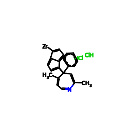 CC1=CC(C2=CC=C3[C]([Zr])=CC=C32)(c2ccccc2)C(C)=CC=N1.Cl.Cl